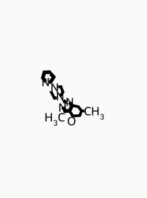 Cc1nc(N2CCN(c3ccccn3)CC2)nc2c1C(=O)CC(C)C2